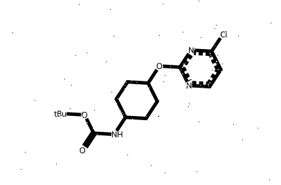 CC(C)(C)OC(=O)NC1CCC(Oc2nccc(Cl)n2)CC1